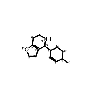 CC1C=CC(C2NCCC3=C2CCO3)CC1